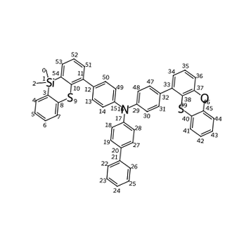 C[Si]1(C)c2ccccc2Sc2c(-c3ccc(N(c4ccc(-c5ccccc5)cc4)c4ccc(-c5cccc6c5Sc5ccccc5O6)cc4)cc3)cccc21